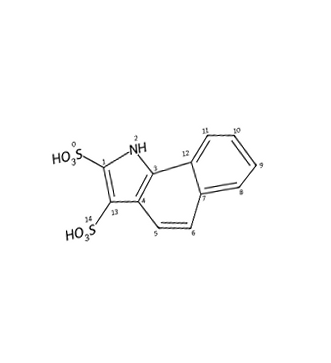 O=S(=O)(O)c1[nH]c2c(ccc3ccccc32)c1S(=O)(=O)O